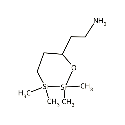 C[Si]1(C)CCC(CCN)O[Si]1(C)C